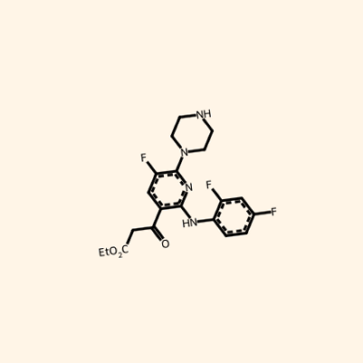 CCOC(=O)CC(=O)c1cc(F)c(N2CCNCC2)nc1Nc1ccc(F)cc1F